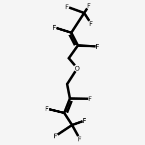 FC(COCC(F)=C(F)C(F)(F)F)=C(F)C(F)(F)F